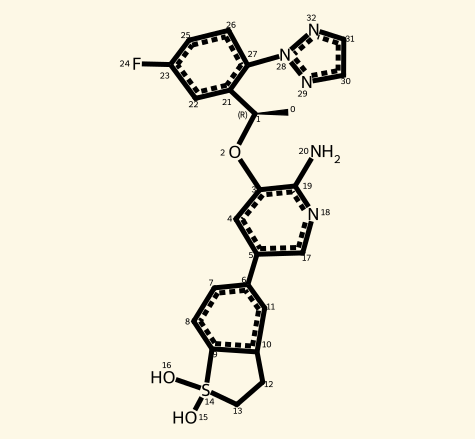 C[C@@H](Oc1cc(-c2ccc3c(c2)CCS3(O)O)cnc1N)c1cc(F)ccc1-n1nccn1